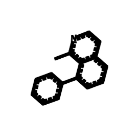 Cc1nccc2cccc(-c3ccccc3)c12